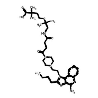 CCCCc1nc2c(N)nc3ccccc3c2n1CCN1CCN(C(=O)CCC(=O)NCC(C)(C)OCCC(C)(C)C(=O)O)CC1